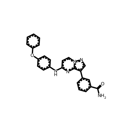 NC(=O)c1cccc(-c2cnn3ccc(Nc4ccc(Oc5ccccc5)cc4)nc23)c1